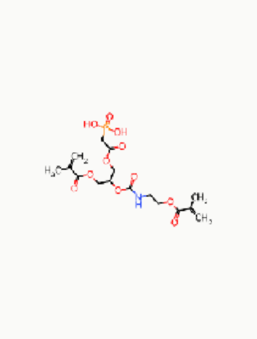 C=C(C)C(=O)OCCNC(=O)OC(COC(=O)CP(=O)(O)O)COC(=O)C(=C)C